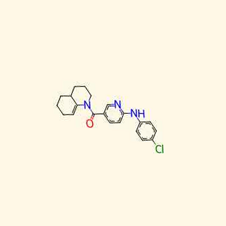 O=C(c1ccc(Nc2ccc(Cl)cc2)nc1)N1CCCC2CCCC=C21